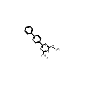 CCCOc1nc(C)nc(-c2ccc(-c3ccccc3)nc2)n1